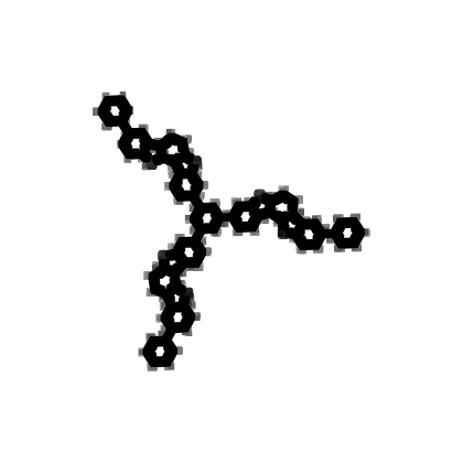 c1ccc(-c2ccc3oc4c(ccc5oc6cc(-c7cc(-c8ccc9c(c8)oc8ccc%10c%11cc(-c%12ccccc%12)ccc%11oc%10c89)cc(-c8ccc9c(c8)oc8ccc%10c%11cc(-c%12ccccc%12)ccc%11oc%10c89)c7)ccc6c54)c3c2)cc1